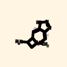 C/C=c1/nn[nH]/c1=C/C1C(C)CC1N